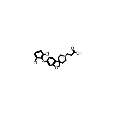 O=C(O)CCN1CCC2(CC1)COc1cc(Sc3c(Cl)cccc3Cl)ccc12